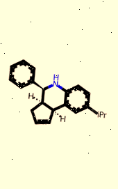 CC(C)c1ccc2c(c1)[C@H]1C=CC[C@H]1[C@@H](c1ccccc1)N2